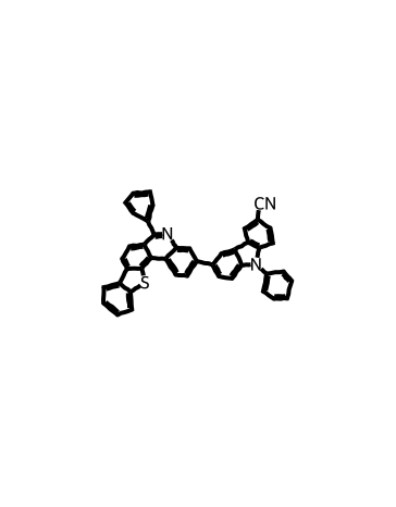 N#Cc1ccc2c(c1)c1cc(-c3ccc4c(c3)nc(-c3ccccc3)c3ccc5c6ccccc6sc5c34)ccc1n2-c1ccccc1